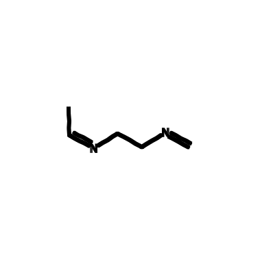 C=NCC/N=C\C